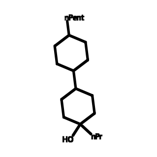 CCCCCC1CCC(C2CCC(O)(CCC)CC2)CC1